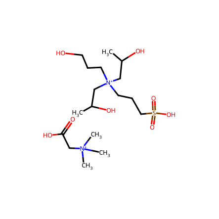 CC(O)C[N+](CCCO)(CCCS(=O)(=O)O)CC(C)O.C[N+](C)(C)CC(=O)O